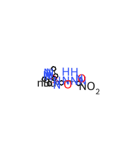 CCCCc1nc2ccc(NC(=O)CCNc3ccc([N+](=O)[O-])c4nonc34)cc2n1-c1ccc(-c2ccccc2)c(-c2nnnn2C(c2ccccc2)(c2ccccc2)c2ccccc2)c1C